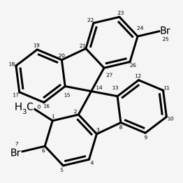 CC1C2=C(C=CC1Br)c1ccccc1C21c2ccccc2-c2ccc(Br)cc21